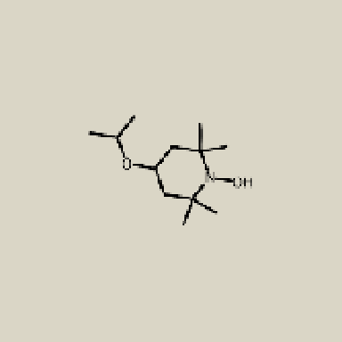 CC(C)OC1CC(C)(C)N(O)C(C)(C)C1